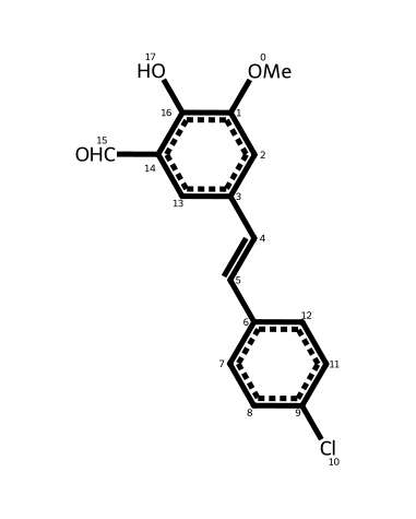 COc1cc(/C=C/c2ccc(Cl)cc2)cc(C=O)c1O